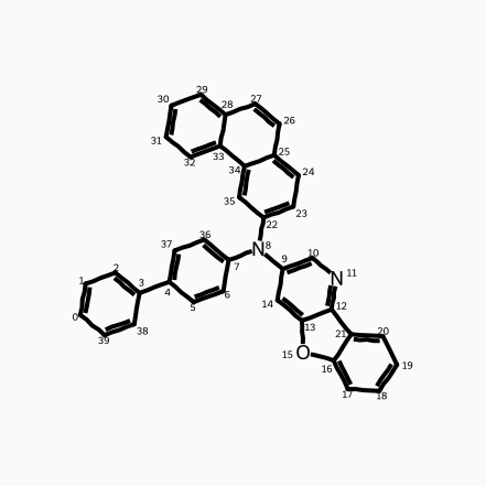 c1ccc(-c2ccc(N(c3cnc4c(c3)oc3ccccc34)c3ccc4ccc5ccccc5c4c3)cc2)cc1